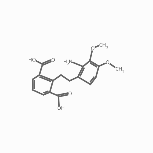 COc1ccc(CCc2c(C(=O)O)cccc2C(=O)O)c(N)c1OC